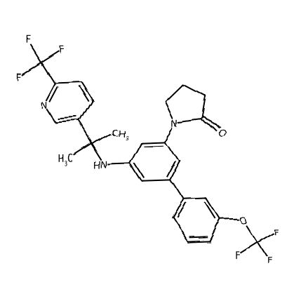 CC(C)(Nc1cc(-c2cccc(OC(F)(F)F)c2)cc(N2CCCC2=O)c1)c1ccc(C(F)(F)F)nc1